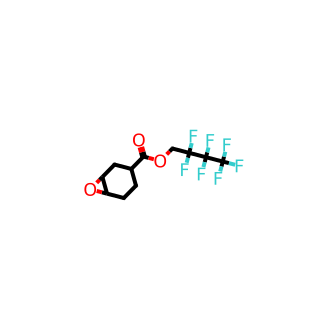 O=C(OCC(F)(F)C(F)(F)C(F)(F)F)C1CCC2OC2C1